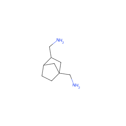 NCC1CC2(CN)CCC1C2